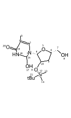 CC1=CN([C@@H]2O[C@H](CO)CC2O[Si](C)(C)C(C)(C)C)C(O)NC1=O